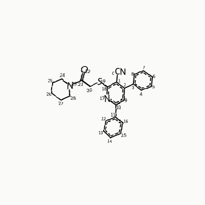 N#Cc1c(-c2ccccc2)cc(-c2ccccc2)nc1SCC(=O)N1CCCCC1